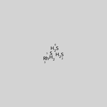 S.S.S.[Rh]